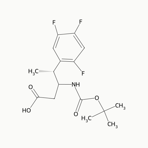 C[C@H](c1cc(F)c(F)cc1F)C(CC(=O)O)NC(=O)OC(C)(C)C